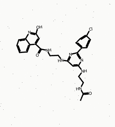 CC(=O)NCCNc1cc(NCCNC(=O)c2cc(O)nc3ccccc23)nc(-c2ccc(Cl)cc2)n1